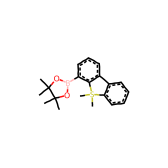 CC1(C)OB(c2cccc3c2S(C)(C)c2ccccc2-3)OC1(C)C